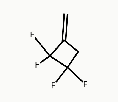 C=C1CC(F)(F)C1(F)F